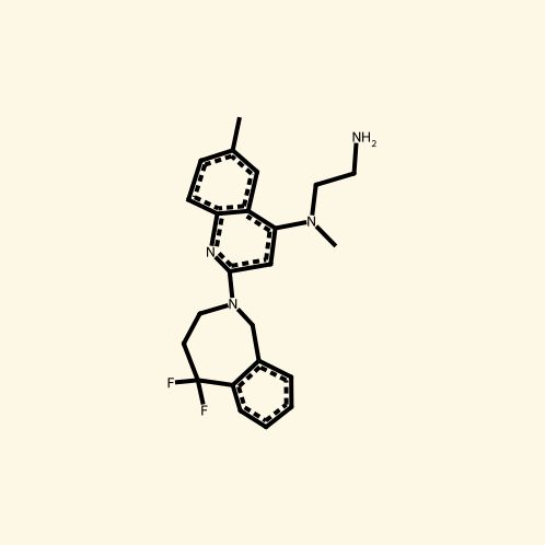 Cc1ccc2nc(N3CCC(F)(F)c4ccccc4C3)cc(N(C)CCN)c2c1